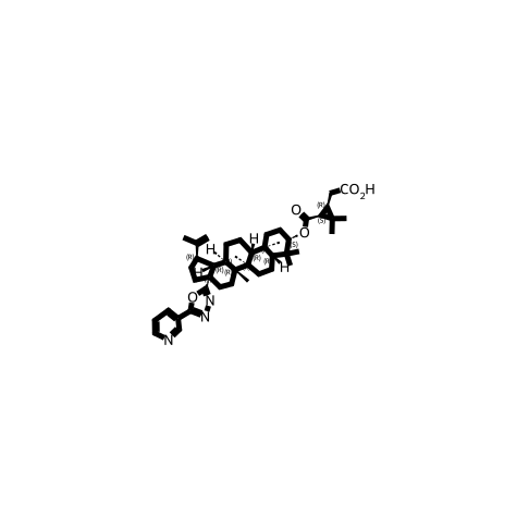 C=C(C)[C@@H]1CC[C@]2(c3nnc(-c4cccnc4)o3)CC[C@]3(C)[C@H](CC[C@@H]4[C@@]5(C)CC[C@H](OC(=O)[C@H]6[C@@H](CC(=O)O)C6(C)C)C(C)(C)[C@@H]5CC[C@]43C)[C@@H]12